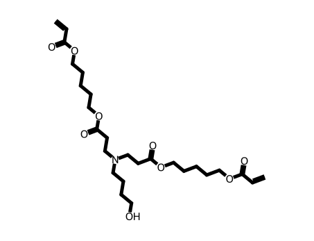 C=CC(=O)OCCCCCOC(=O)CCN(CCCCO)CCC(=O)OCCCCCOC(=O)C=C